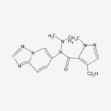 CN(C)N(C(=O)c1c(C(=O)O)cnn1C)c1ccc2ncnn2c1